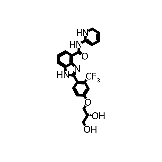 O=C(NC1=CC=CCN1)c1cccc2[nH]c(-c3ccc(OC[C@H](O)CO)cc3C(F)(F)F)nc12